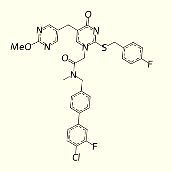 COc1ncc(Cc2cn(CC(=O)N(C)Cc3ccc(-c4ccc(Cl)c(F)c4)cc3)c(SCc3ccc(F)cc3)nc2=O)cn1